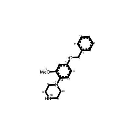 COc1cc(OCc2ccccc2)ccc1N1CCNCC1